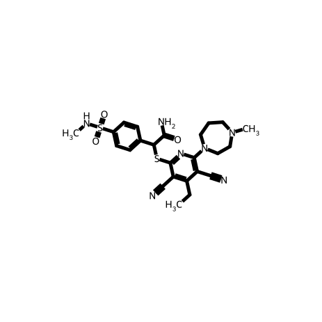 CCc1c(C#N)c(SC(C(N)=O)c2ccc(S(=O)(=O)NC)cc2)nc(N2CCCN(C)CC2)c1C#N